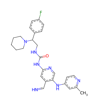 Cc1cc(Nc2cnc(NC(=O)NCC(c3ccc(F)cc3)N3CCCCC3)cc2C=N)ccn1